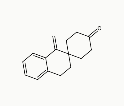 C=C1c2ccccc2CCC12CCC(=O)CC2